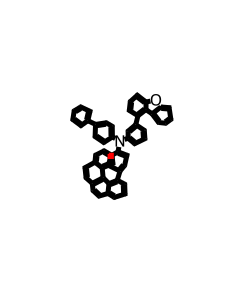 c1ccc(-c2ccc(N(c3ccc(-c4cccc5ccc6ccc7ccccc7c6c45)cc3)c3cccc(-c4cccc5oc6ccccc6c45)c3)cc2)cc1